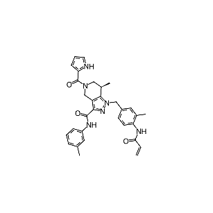 C=CC(=O)Nc1ccc(Cn2nc(C(=O)Nc3cccc(C)c3)c3c2[C@H](C)CN(C(=O)c2ccc[nH]2)C3)cc1C